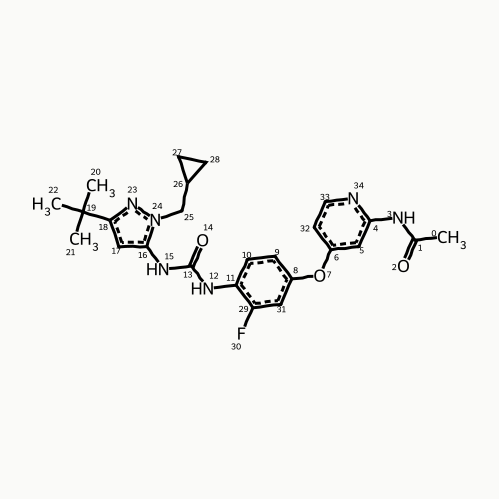 CC(=O)Nc1cc(Oc2ccc(NC(=O)Nc3cc(C(C)(C)C)nn3CC3CC3)c(F)c2)ccn1